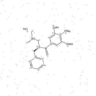 COc1cc(C(=O)[C@@H](Cc2ccccc2)CN(C)C)cc(OC)c1OC.Cl